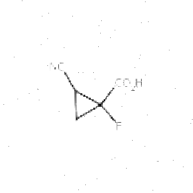 N#CC1CC1(F)C(=O)O